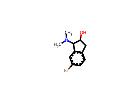 CN(C)C1c2cc(Br)ccc2CC1O